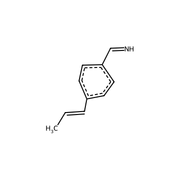 C/C=C/c1ccc(C=N)cc1